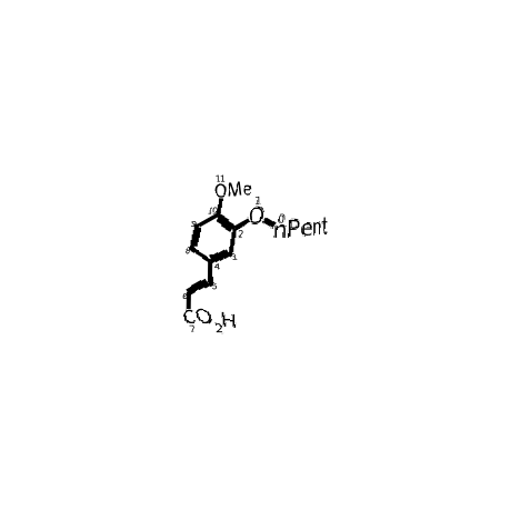 CCCCCOc1cc(C=CC(=O)O)ccc1OC